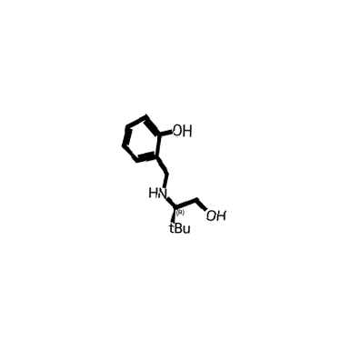 CC(C)(C)[C@H](CO)NCc1ccccc1O